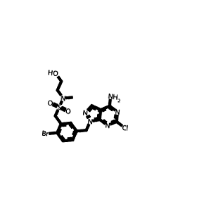 CN(CCO)S(=O)(=O)Cc1cc(Cn2ncc3c(N)nc(Cl)nc32)ccc1Br